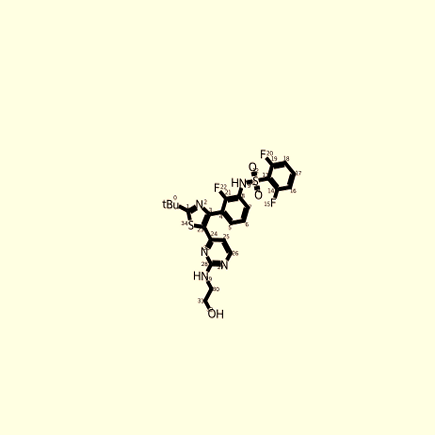 CC(C)(C)c1nc(-c2cccc(NS(=O)(=O)c3c(F)cccc3F)c2F)c(-c2ccnc(NCCO)n2)s1